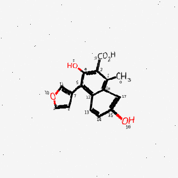 Cc1c(C(=O)O)c(O)c(-c2ccoc2)c2ccc(O)cc12